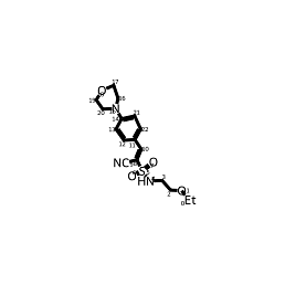 CCOCCNS(=O)(=O)/C(C#N)=C/c1ccc(N2CCOCC2)cc1